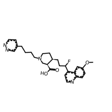 COc1ccc2nccc(C(F)CC[C@@H]3CCN(CCCCc4ccnnc4)C[C@@H]3C(=O)O)c2c1